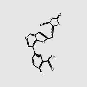 O=C1NC(=S)S/C1=C/c1cc2cncc(-c3ccc(Cl)c(C(=O)O)c3)c2o1